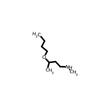 CCCCOC(C)CCNC